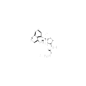 CC(=O)NCC(=O)N[C@@H]1CCN(S(=O)(=O)c2cccc3cncc(C)c23)C1